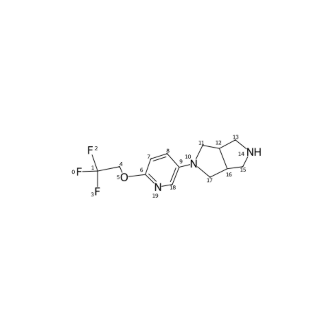 FC(F)(F)COc1ccc(N2CC3CNCC3C2)cn1